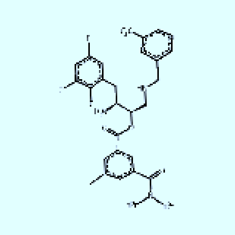 CCCN(CCC)C(=O)c1cc(C)cc(C(=O)O[C@H](CNCc2cccc(C(F)(F)F)c2)[C@@H](N)Cc2cc(F)cc(F)c2F)c1